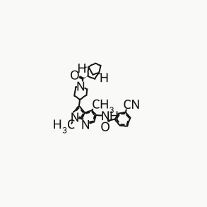 Cc1c(NC(=O)c2cccc(C#N)c2)cnc2c1c(C1CCN(C(=O)[C@H]3C[C@H]4CC[C@H]3C4)CC1)cn2C